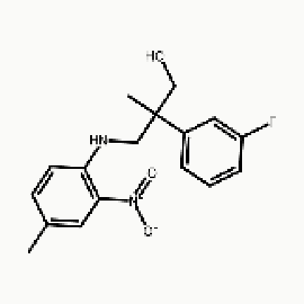 Cc1ccc(NCC(C)(CO)c2cccc(F)c2)c([N+](=O)[O-])c1